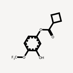 O=C(Oc1ccc(OC(F)(F)F)c(O)c1)C1CCC1